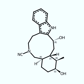 C[C@@H]1[C@H]2C[C@@H](O)c3[nH]c4ccccc4c3CCN(C#N)C[C@@H]2CC[C@@H]1O